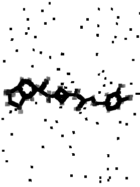 O=C(COc1ccc(Cl)c(F)c1)NC12CC(NC(=O)c3ccc4c(c3)OCN4)(C1)C2